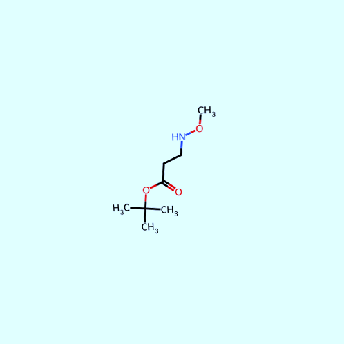 CONCCC(=O)OC(C)(C)C